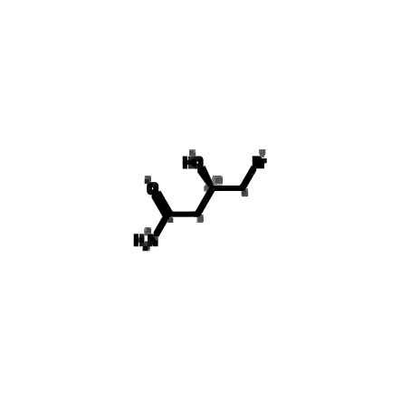 NC(=O)C[C@@H](O)CBr